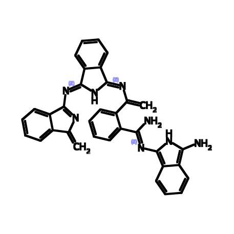 C=C1N=C(/N=C2\N/C(=N\C(=C)c3ccccc3/C(N)=N/c3[nH]c(N)c4ccccc34)c3ccccc32)c2ccccc21